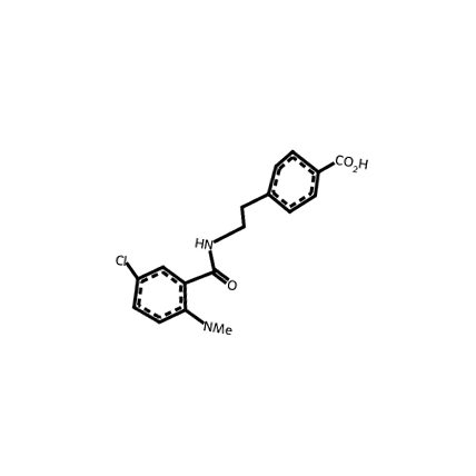 CNc1ccc(Cl)cc1C(=O)NCCc1ccc(C(=O)O)cc1